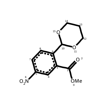 COC(=O)c1cc([N+](=O)[O-])ccc1C1OCCCO1